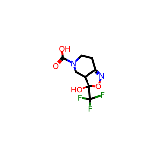 O=C(O)N1CCC2=NOC(O)(C(F)(F)F)C2C1